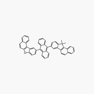 CC1(C)c2ccc(-c3c4ccccc4c(-c4ccc5oc6ccc7ccccc7c6c5c4)c4ccccc34)cc2-c2ccc3ccccc3c21